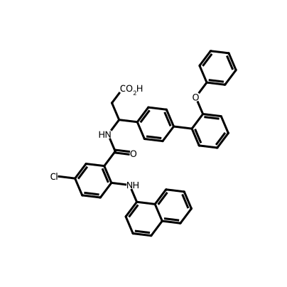 O=C(O)CC(NC(=O)c1cc(Cl)ccc1Nc1cccc2ccccc12)c1ccc(-c2ccccc2Oc2ccccc2)cc1